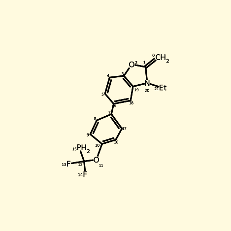 C=C1Oc2ccc(-c3ccc(OC(F)(F)P)cc3)cc2N1CC